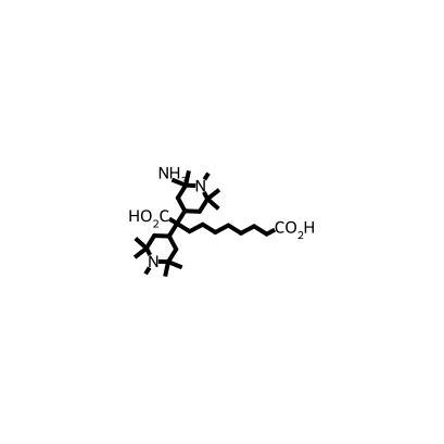 CN1C(C)(C)CC(C(CCCCCCCC(=O)O)(C(=O)O)C2CC(C)(C)N(C)C(C)(C)C2)CC1(C)C.N